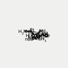 CCCCO[C@H](CC)C1[C@@H](C(C)(C)CC[C@H](CC)OCCCN)C[C@H](OCCCN)[C@]2(C)[C@@H]([C@H](C)CCCN(C)Cc3ccccc3)CC[C@@H]12